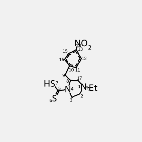 CCN1CCN(C(=S)S)C(Cc2ccc([N+](=O)[O-])cc2)C1